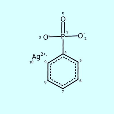 O=P([O-])([O-])c1ccccc1.[Ag+2]